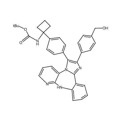 CC(C)(C)OC(=O)NC1(c2ccc(-c3c(-c4ccc(CO)cc4)nc4n3-c3cccnc3Nc3ccccc3-4)cc2)CCC1